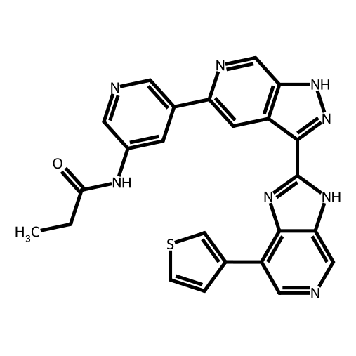 CCC(=O)Nc1cncc(-c2cc3c(-c4nc5c(-c6ccsc6)cncc5[nH]4)n[nH]c3cn2)c1